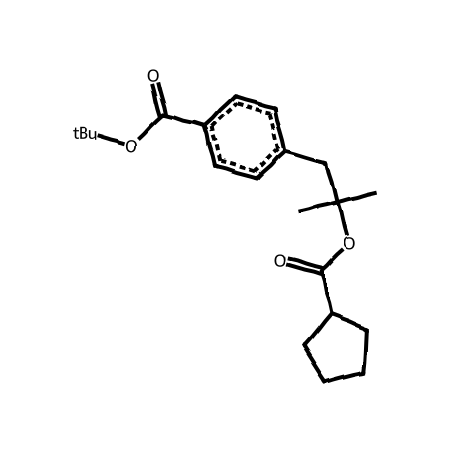 CC(C)(C)OC(=O)c1ccc(CC(C)(C)OC(=O)C2CCCC2)cc1